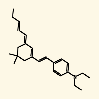 CC/C=C/C=C1C=C(/C=C/c2ccc(N(CC)CC)cc2)CC(C)(C)C/1